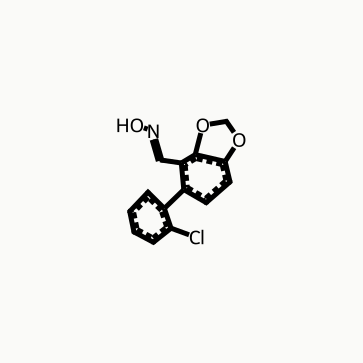 O/N=C/c1c(-c2ccccc2Cl)ccc2c1OCO2